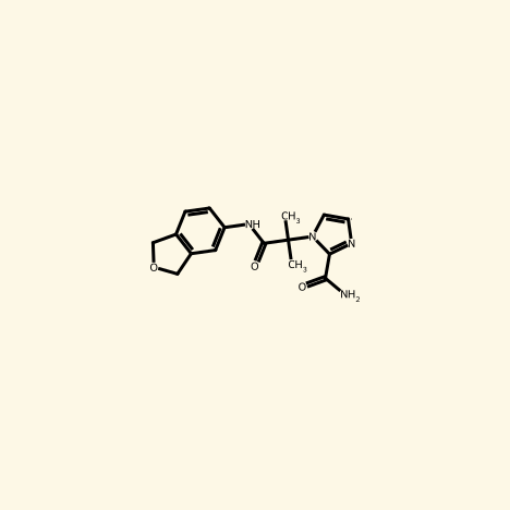 CC(C)(C(=O)Nc1ccc2c(c1)COC2)n1c[c]nc1C(N)=O